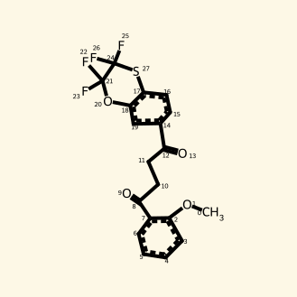 COc1ccccc1C(=O)CCC(=O)c1ccc2c(c1)OC(F)(F)C(F)(F)S2